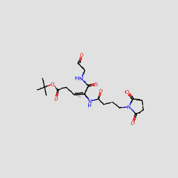 CC(C)(C)OC(=O)C/C=C(/NC(=O)CCCN1C(=O)CCC1=O)C(=O)NCC=O